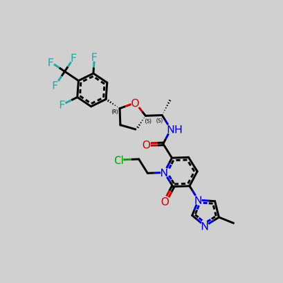 Cc1cn(-c2ccc(C(=O)N[C@@H](C)[C@@H]3CC[C@H](c4cc(F)c(C(F)(F)F)c(F)c4)O3)n(CCCl)c2=O)cn1